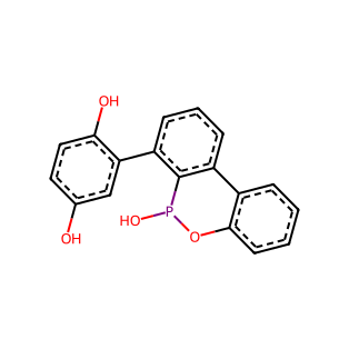 Oc1ccc(O)c(-c2cccc3c2P(O)Oc2ccccc2-3)c1